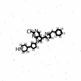 Clc1ncc2c(-c3nc(Cc4ccccc4)cs3)cn(C3CCC(C4CCNCC4)C3)c2n1